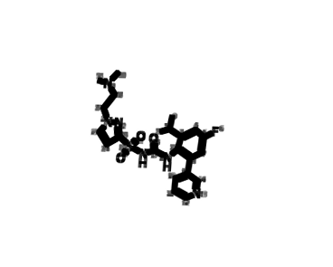 CC(C)c1cc(F)cc(-c2cccnc2)c1NC(=O)NS(=O)(=O)c1ccn(CCN(C)C)n1